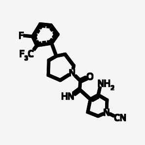 N#CN1CCC(C(=N)C(=O)N2CCCC(c3cccc(F)c3C(F)(F)F)CC2)=C(N)C1